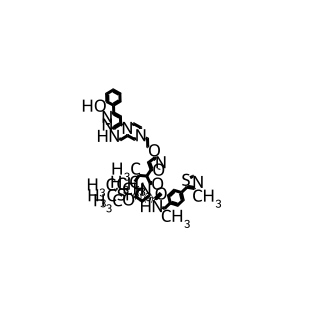 Cc1ncsc1-c1ccc(C(C)NC(=O)[C@@H]2C[C@@H](O[Si](C)(C)C(C)(C)C)CN2C(=O)C(c2cc(OCCN3CCN4c5cc(-c6ccccc6O)nnc5NCC4C3)no2)C(C)C)cc1